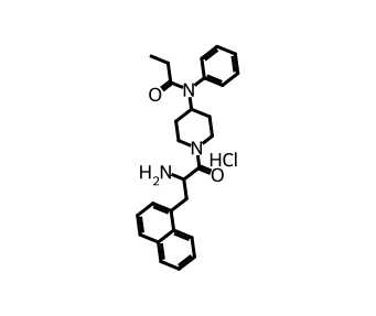 CCC(=O)N(c1ccccc1)C1CCN(C(=O)C(N)Cc2cccc3ccccc23)CC1.Cl